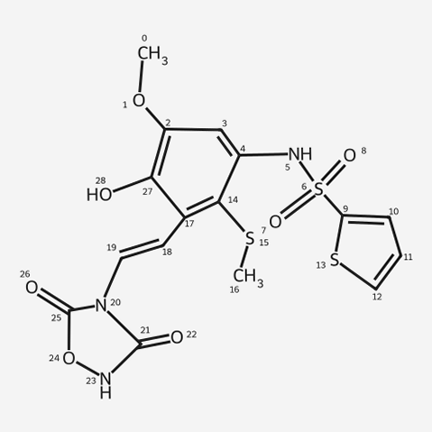 COc1cc(NS(=O)(=O)c2cccs2)c(SC)c(C=Cn2c(=O)[nH]oc2=O)c1O